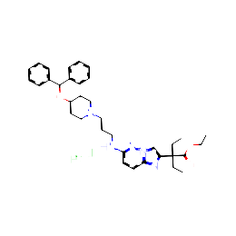 CCOC(=O)C(CC)(CC)c1cn2nc(NCCCN3CCC(OC(c4ccccc4)c4ccccc4)CC3)ccc2n1.Cl.Cl